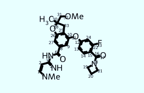 CN/C=C\C(=N)NC(=O)c1cc(Oc2ccc(C(=O)N3CCC3)c(F)c2)c2c(c1)OC(C)(COC)C2